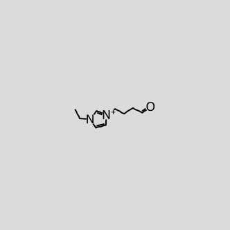 CCn1cc[n+](CCCC=O)c1